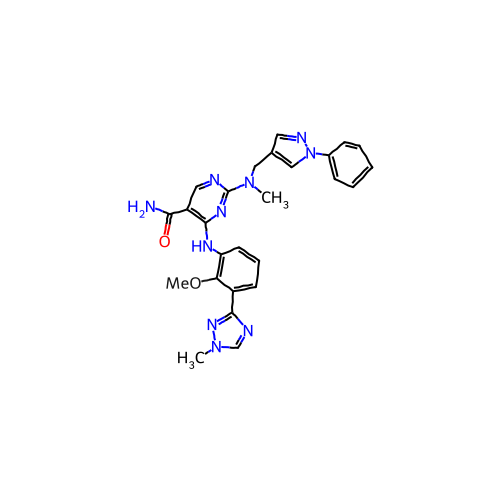 COc1c(Nc2nc(N(C)Cc3cnn(-c4ccccc4)c3)ncc2C(N)=O)cccc1-c1ncn(C)n1